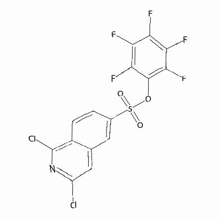 O=S(=O)(Oc1c(F)c(F)c(F)c(F)c1F)c1ccc2c(Cl)nc(Cl)cc2c1